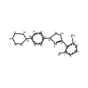 Fc1cccc(F)c1C1=NC(c2ccc(C3CCCCC3)cc2)CC1